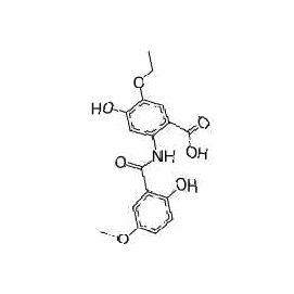 CCOc1cc(C(=O)O)c(NC(=O)c2cc(OC)ccc2O)cc1O